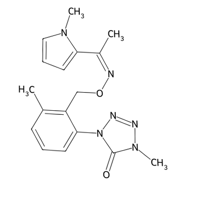 C/C(=N/OCc1c(C)cccc1-n1nnn(C)c1=O)c1cccn1C